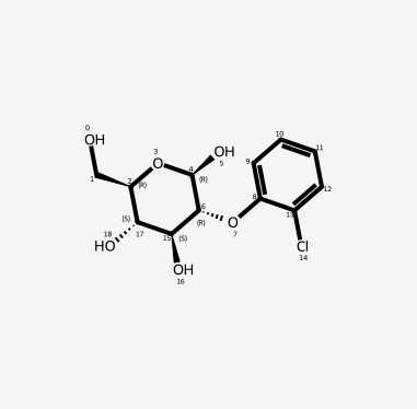 OC[C@H]1O[C@@H](O)[C@H](Oc2ccccc2Cl)[C@@H](O)[C@@H]1O